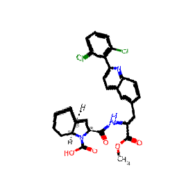 COC(=O)C(Cc1ccc2nc(-c3c(Cl)cccc3Cl)ccc2c1)NC(=O)[C@@H]1C[C@@H]2CCCC[C@@H]2N1C(=O)O